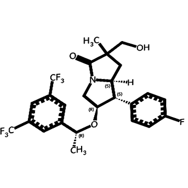 C[C@@H](O[C@H]1CN2C(=O)C(C)(CO)C[C@H]2[C@@H]1c1ccc(F)cc1)c1cc(C(F)(F)F)cc(C(F)(F)F)c1